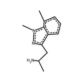 Cc1cccc2c(CC(C)N)nn(C)c12